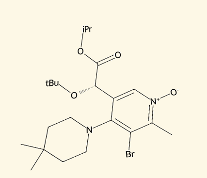 Cc1c(Br)c(N2CCC(C)(C)CC2)c([C@H](OC(C)(C)C)C(=O)OC(C)C)c[n+]1[O-]